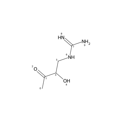 CC(=O)C(O)CNC(=N)N